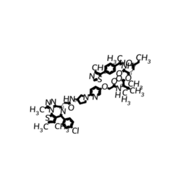 CC[C@H](O)C[C@H](OC(=O)[C@@H](NC(=O)COc1ccc(N2CC[C@@H](NC(=O)C[C@@H]3N=C(c4ccc(Cl)cc4)c4c(sc(C)c4C)-n4c(C)nnc43)C2)nc1)C(C)(C)C)C(=O)N[C@@H](C)c1ccc(-c2scnc2C)cc1